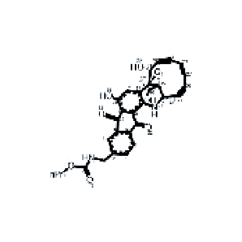 CCCOC(=O)NCc1ccc2c(c1)C(=O)c1c(O)cc3c(c1C2=O)N[C@H]1C#C/C=C\C#C[C@@H](O)[C@@]32O[C@@]12[C@@H](C)O